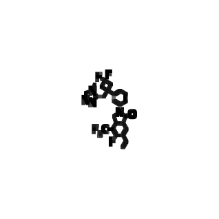 C=Cc1cc2c(c(C(F)(F)F)c1F)CN(c1cccc(C3(Cc4nncn4C)CC(F)(F)C3)c1)C2=O